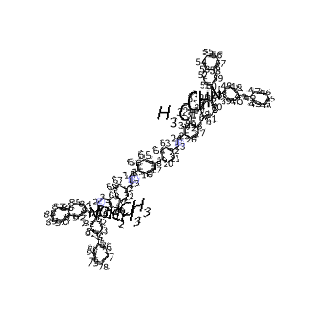 C=C(/C=C\C1=C(CC)C(C)(C)c2cc(/C=C/c3ccc(-c4ccc(/C=C/c5ccc6c(c5)C(C)(C)c5cc(N(c7ccc(-c8ccccc8)cc7)c7ccc8ccccc8c7)ccc5-6)cc4)cc3)ccc21)N(c1ccc(-c2ccccc2)cc1)c1ccc2ccccc2c1